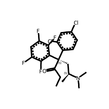 CCC(=O)[C@](C[C@H](C)N(C)C)(c1ccc(Cl)cc1Cl)c1c(F)c(F)cc(F)c1F